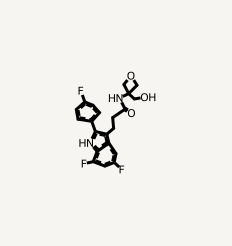 O=C(CCc1c(-c2ccc(F)cc2)[nH]c2c(F)cc(F)cc12)NC1(CO)COC1